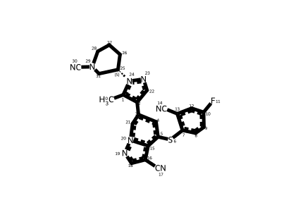 Cc1c(-c2cc(Sc3ccc(F)cc3C#N)c3c(C#N)cnn3c2)cnn1[C@H]1CCCN(C#N)C1